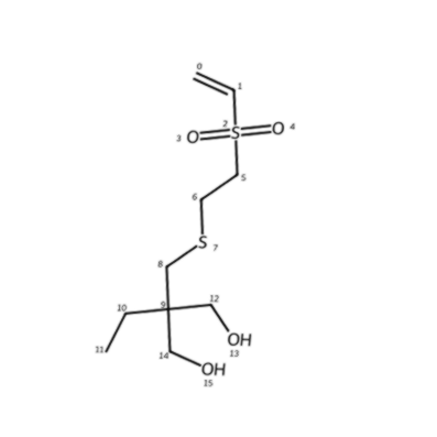 C=CS(=O)(=O)CCSCC(CC)(CO)CO